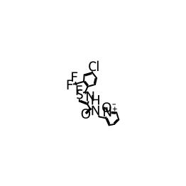 O=C(NCc1cccc[n+]1[O-])c1csc(-c2ccc(Cl)cc2C(F)(F)F)n1